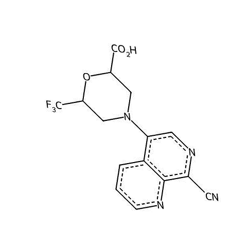 N#Cc1ncc(N2CC(C(=O)O)OC(C(F)(F)F)C2)c2cccnc12